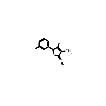 CC1=C(O)C(c2cccc(F)c2)SC1=C=O